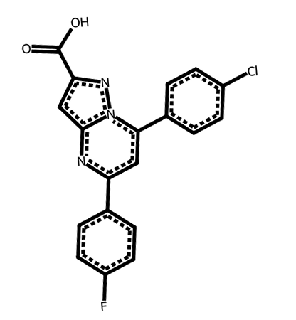 O=C(O)c1cc2nc(-c3ccc(F)cc3)cc(-c3ccc(Cl)cc3)n2n1